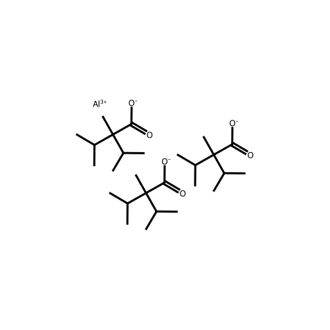 CC(C)C(C)(C(=O)[O-])C(C)C.CC(C)C(C)(C(=O)[O-])C(C)C.CC(C)C(C)(C(=O)[O-])C(C)C.[Al+3]